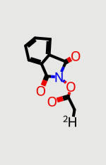 [2H]CC(=O)ON1C(=O)c2ccccc2C1=O